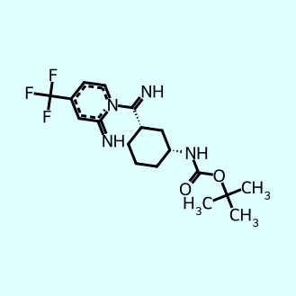 CC(C)(C)OC(=O)N[C@@H]1CCC[C@H](C(=N)n2ccc(C(F)(F)F)cc2=N)C1